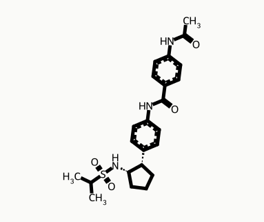 CC(=O)Nc1ccc(C(=O)Nc2ccc([C@@H]3CCC[C@@H]3NS(=O)(=O)C(C)C)cc2)cc1